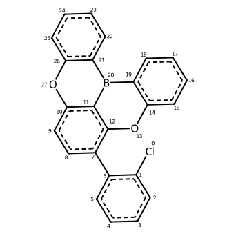 Clc1ccccc1-c1ccc2c3c1Oc1ccccc1B3c1ccccc1O2